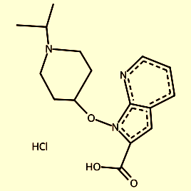 CC(C)N1CCC(On2c(C(=O)O)cc3cccnc32)CC1.Cl